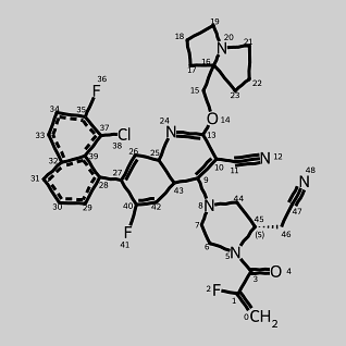 C=C(F)C(=O)N1CCN(C2=C(C#N)C(OCC34CCCN3CCC4)=NC3C=C(c4cccc5ccc(F)c(Cl)c45)C(F)=CC23)C[C@@H]1CC#N